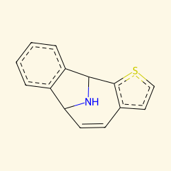 C1=CC2NC(c3ccccc32)c2sccc21